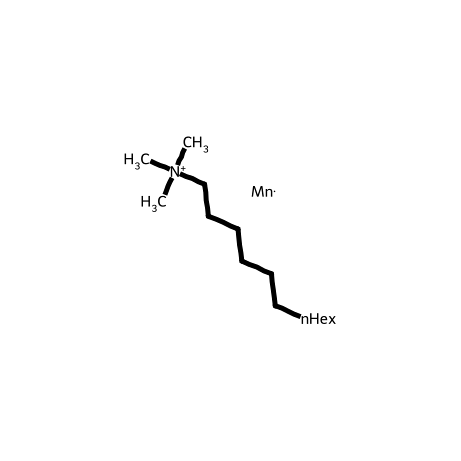 CCCCCCCCCCCC[N+](C)(C)C.[Mn]